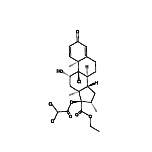 CCOC(=O)[C@@]1(OC(=O)C(Cl)Cl)[C@@H](C)C[C@H]2[C@@H]3CCC4=CC(=O)C=C[C@]4(C)[C@@]3(Cl)[C@@H](O)C[C@@]21C